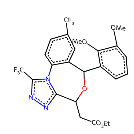 CCOC(=O)CC1OC(c2cccc(OC)c2OC)c2cc(C(F)(F)F)ccc2-n2c1nnc2C(F)(F)F